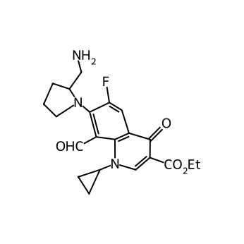 CCOC(=O)c1cn(C2CC2)c2c(C=O)c(N3CCCC3CN)c(F)cc2c1=O